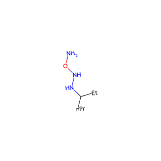 CCCC(CC)NNON